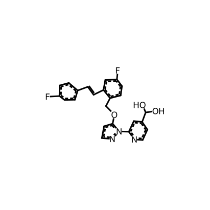 OC(O)c1ccnc(-n2nccc2OCc2ccc(F)cc2/C=C/c2ccc(F)cc2)c1